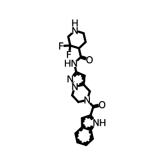 O=C(Nc1cc2n(n1)CCN(C(=O)c1cc3ccccc3[nH]1)C2)C1CCNCC1(F)F